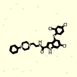 O=C(NCCN1CCN(c2ccccc2)CC1)c1cc2c(Sc3ccc(Cl)cc3Cl)cc(Cl)cc2[nH]1